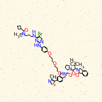 Cc1ncsc1-c1ccc(CNC(=O)[C@@H]2CCCN2C(=O)C(C(C)C)N2Cc3ccccc3C2=O)c(OCCCOCCCOc2ccc(Nc3ncc(Br)c(NCCCN(C)C(=O)C4CCC4)n3)cc2)c1